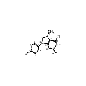 CC1CN(c2ccc(F)cc2)c2nc(Cl)nc(Cl)c21